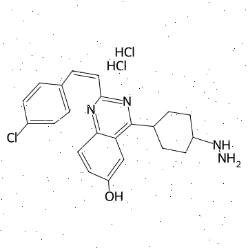 Cl.Cl.NNC1CCC(c2nc(/C=C\c3ccc(Cl)cc3)nc3ccc(O)cc23)CC1